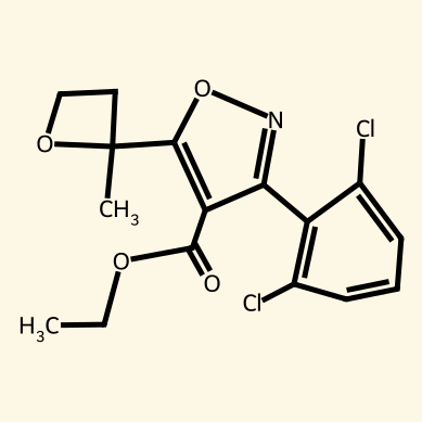 CCOC(=O)c1c(-c2c(Cl)cccc2Cl)noc1C1(C)CCO1